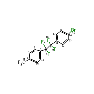 FC(F)(F)c1ccc(C(F)(F)C(F)(F)c2ccc(Br)cc2)cc1